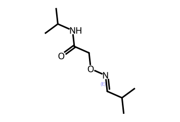 CC(C)/C=N/OCC(=O)NC(C)C